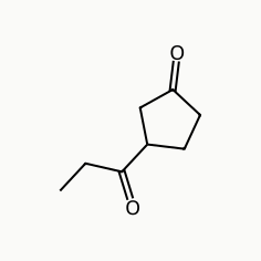 CCC(=O)C1CCC(=O)C1